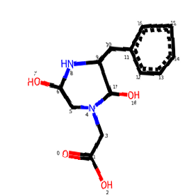 O=C(O)CN1CC(O)NC(Cc2ccccc2)C1O